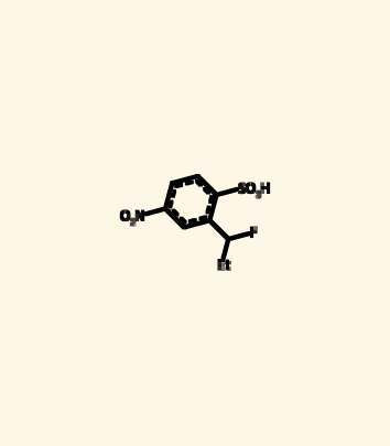 CCC(F)c1cc([N+](=O)[O-])ccc1S(=O)(=O)O